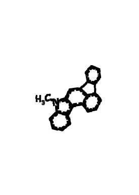 Cn1c2ccccc2c2c3cccc4c3c(cc21)-c1ccccc1-4